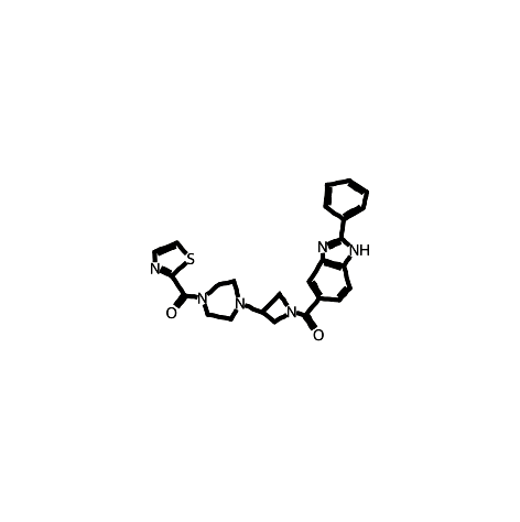 O=C(c1ccc2[nH]c(-c3ccccc3)nc2c1)N1CC(N2CCN(C(=O)c3nccs3)CC2)C1